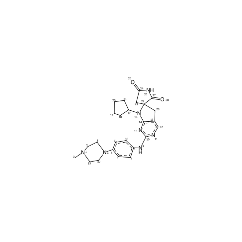 CN1CCN(c2ccc(Nc3ncc4c(n3)N(C3CCCC3)C3(CC(=O)NC3=O)C4)cc2)CC1